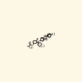 CC(C)C(=O)Nc1ccc(F)c(C2(Cc3ccc(S(=O)(=O)c4ccc(Cl)cc4)cc3)CCNCC2)c1